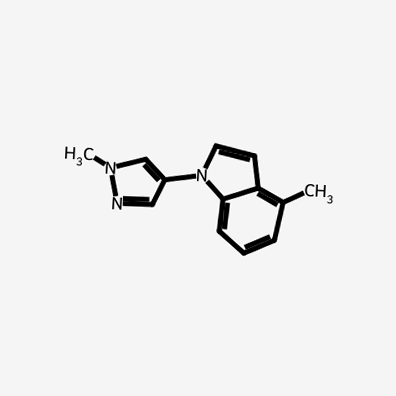 Cc1cccc2c1ccn2-c1cnn(C)c1